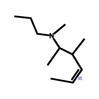 C/C=C\C(C)C(C)N(C)CCC